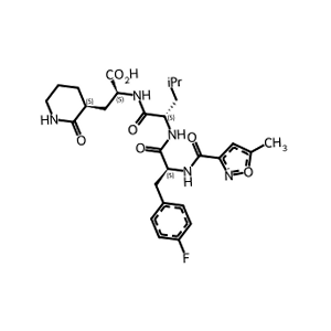 Cc1cc(C(=O)N[C@@H](Cc2ccc(F)cc2)C(=O)N[C@@H](CC(C)C)C(=O)N[C@@H](C[C@@H]2CCCNC2=O)C(=O)O)no1